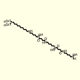 CCCCCCCCP(CCCCCCCC)CCCCCCCCCCNCCCCCN(O)C(=O)CCC(=O)NCCCCCN(O)C(=O)CCC(=O)NCCCCCN(O)C(C)=O